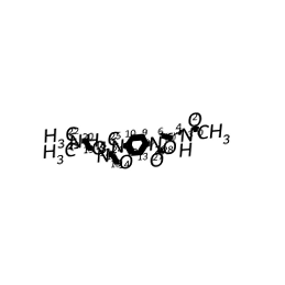 CC(=O)NC[C@H]1CN(c2ccc3c(c2)OCC(=NOCCN(C)C)N3C)C(=O)O1